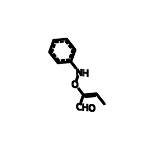 CC=C(C=O)ONc1ccccc1